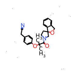 CC(C)(Oc1ccc(CC#N)cc1)C(=O)N1CCC2(C1)OCc1ccccc12